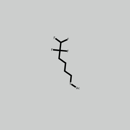 CC(=O)SCCCCC(F)(F)C(F)F